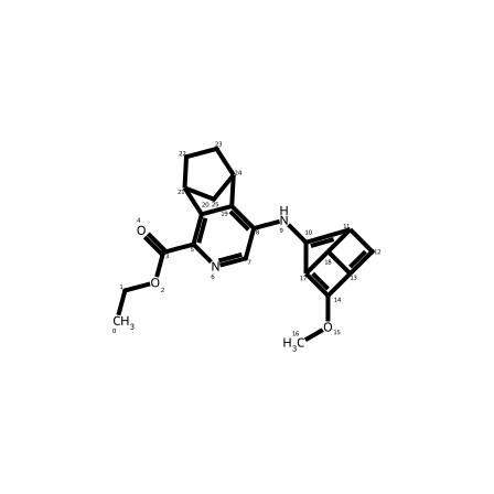 CCOC(=O)c1ncc(NC2=C3C=C4C(OC)=C2C43)c2c1C1CCC2C1